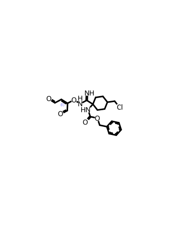 N=C(NO/C(C=O)=C/C=O)C1(NC(=O)OCc2ccccc2)CCC(CCl)CC1